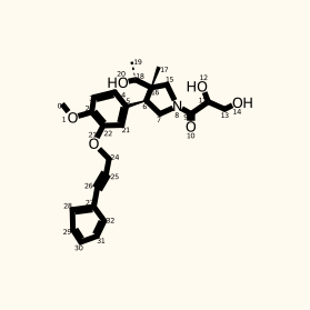 COc1ccc([C@@H]2CN(C(=O)C(O)CO)C[C@@]2(C)[C@@H](C)O)cc1OCC#Cc1ccccc1